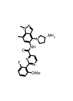 COc1cccc(F)c1-c1nccc(C(=O)Nc2cc(C)c3c(cnn3C)c2N2CC[C@@H](N)C2)n1